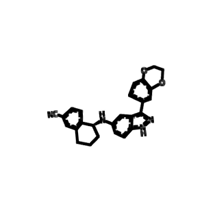 N#Cc1ccc2c(c1)CCC[C@@H]2Nc1ccc2[nH]nc(-c3ccc4c(c3)OCCO4)c2c1